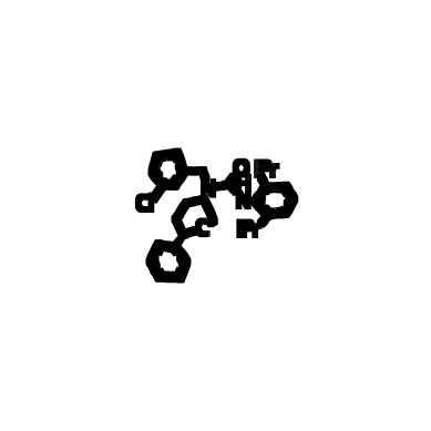 CC(C)c1cccc(C(C)C)c1NC(=O)N(Cc1cccc(Cl)c1)[C@H]1CC[C@H](c2ccccc2)CC1